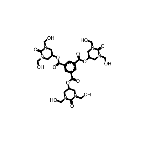 O=C(OC1CN(CO)C(=O)N(CO)C1)c1cc(C(=O)OC2CN(CO)C(=O)N(CO)C2)cc(C(=O)OC2CN(CO)C(=O)N(CO)C2)c1